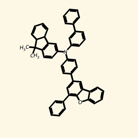 CC1(C)c2ccc(N(c3ccc(-c4cc(-c5ccccc5)c5oc6ccccc6c5c4)cc3)c3cccc(-c4ccccc4)c3)cc2C2C=CC=CC21